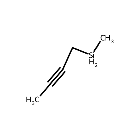 CC#CC[SiH2]C